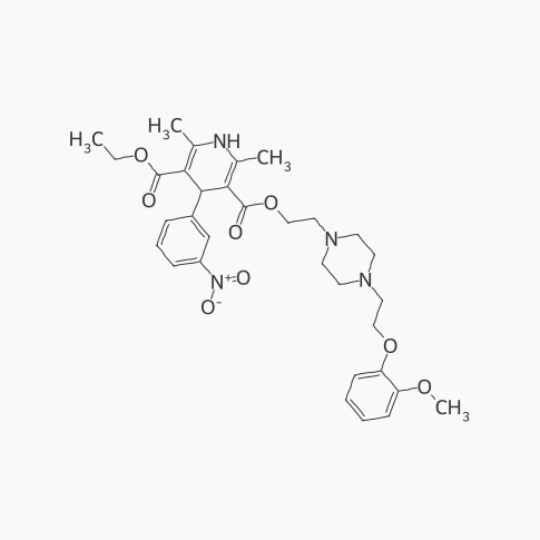 CCOC(=O)C1=C(C)NC(C)=C(C(=O)OCCN2CCN(CCOc3ccccc3OC)CC2)C1c1cccc([N+](=O)[O-])c1